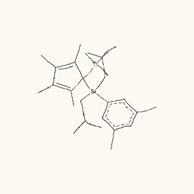 CC1=C(C)[C]([Si](CC(C)C)(CC(C)C)c2cc(C)cc(C)c2)([Ti]([CH3])([CH3])[CH3])C(C)=C1C